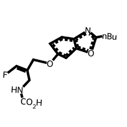 CCCCc1nc2ccc(OCC(=CF)CNC(=O)O)cc2o1